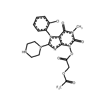 Cn1c(=O)c2c(nc(N3CCNCC3)n2-c2ccccc2Cl)n(OC(=O)COC(=O)C(F)(F)F)c1=O